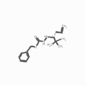 C=CC[C@@H](NNC(=O)OCc1ccccc1)C(C)(C)C